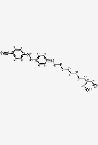 N#Cc1ccc(N=Nc2ccc(OCCCCCCCCC(CO)CO)cc2)cc1